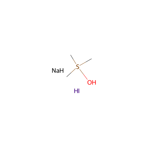 CS(C)(C)O.I.[NaH]